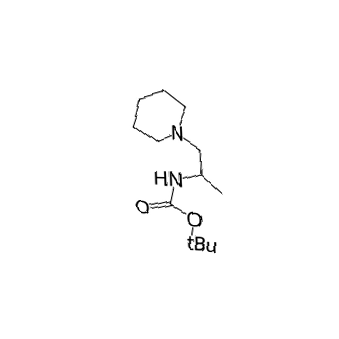 CC(CN1CCCCC1)NC(=O)OC(C)(C)C